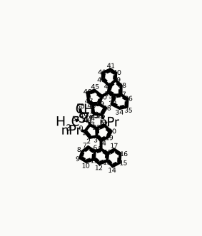 CCCC1=Cc2c(-c3c4ccccc4cc4ccccc34)cccc2[CH]1[Zr]([CH]1C(CCC)=Cc2c(-c3c4ccccc4cc4ccccc34)cccc21)=[Si](C)C